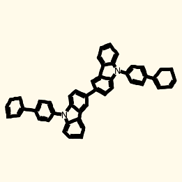 C1=CCCC(c2ccc(-n3c4ccccc4c4cc(-c5ccc6c(c5)c5ccccc5n6-c5ccc(C6=CC=CCC6)cc5)ccc43)cc2)=C1